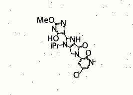 COc1ncc(C2NC3=C(CN(c4cc(Cl)cn(C)c4=O)C3=O)N2C(C)C)c(O)n1